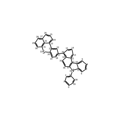 c1ccc(-n2c3ccccc3c3c4cccc(-c5ccc6c(c5)-c5cccc7cccc(c57)S6)c4ccc32)cc1